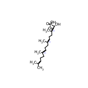 CC(C)=CCC/C(C)=C/CC/C(C)=C/CC/C(C)=C/C(O)P(=O)(O)O